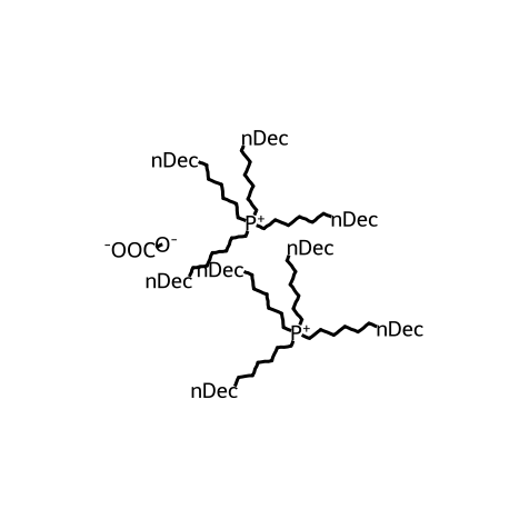 CCCCCCCCCCCCCCCC[P+](CCCCCCCCCCCCCCCC)(CCCCCCCCCCCCCCCC)CCCCCCCCCCCCCCCC.CCCCCCCCCCCCCCCC[P+](CCCCCCCCCCCCCCCC)(CCCCCCCCCCCCCCCC)CCCCCCCCCCCCCCCC.O=C([O-])[O-]